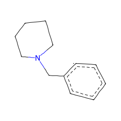 [c]1ccccc1CN1CCCCC1